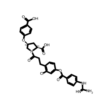 N=C(N)Nc1ccc(C(=O)Oc2ccc(CCC(=O)N3C[C@@H](Oc4ccc(C(=O)O)cc4)C[C@H]3C(=O)O)c(Cl)c2)cc1